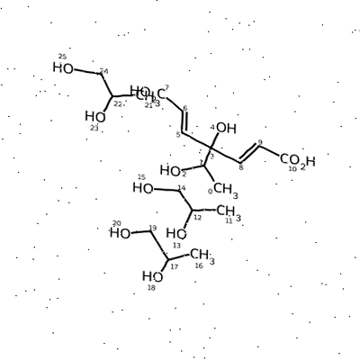 CC(O)C(O)(C=CC(=O)O)C=CC(=O)O.CC(O)CO.CC(O)CO.CC(O)CO